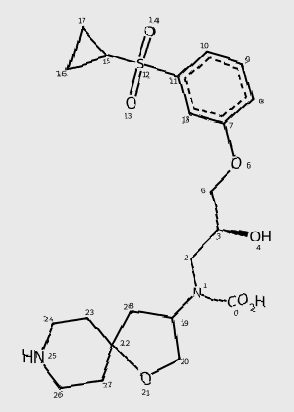 O=C(O)N(C[C@H](O)COc1cccc(S(=O)(=O)C2CC2)c1)C1COC2(CCNCC2)C1